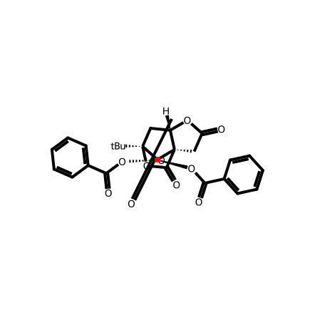 CC(C)(C)[C@@]12C[C@@H]3OC(=O)C[C@]3(C(=O)O1)[C@@]21[C@H](OC(=O)c2ccccc2)OC(=O)[C@H]1OC(=O)c1ccccc1